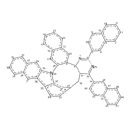 c1ccc2cc(C3=NC4c5cc6ccccc6cc5-n5c6cc(ccc6c6cc7ccccc7cc65)CC4C(c4ccc5ccccc5c4)=N3)ccc2c1